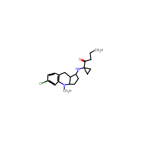 O=C(O)CCC(=O)C1(NC2CCC3C2Cc2ccc(Cl)cc2N3C(=O)O)CC1